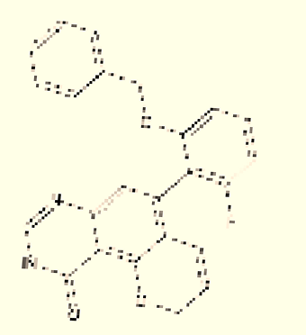 O=c1[nH]cnc2cc(-c3c(F)cccc3OCc3ccccc3)c3c(c12)OCC=C3